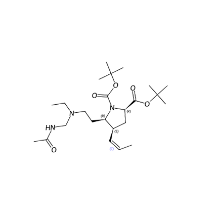 C/C=C\[C@@H]1C[C@H](C(=O)OC(C)(C)C)N(C(=O)OC(C)(C)C)[C@@H]1CCN(CC)CNC(C)=O